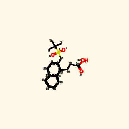 CC(C)(C)S(=O)(=O)Cc1ccc2ccccc2c1CCC(=O)O